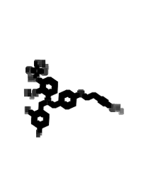 CC#CCCOc1ccc(CN(Cc2ccc(F)cc2F)c2cccc(NS(C)(=O)=O)c2C)cc1